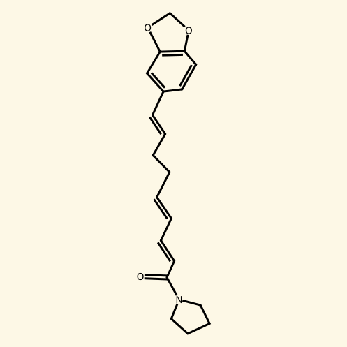 O=C(/C=C/C=C/CC/C=C/c1ccc2c(c1)OCO2)N1CCCC1